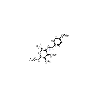 COc1ccc(/C=N/C2C(C)OC(COC(C)=O)C(OC(C)=O)C2OC(C)=O)cc1